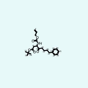 C=CCOC(=O)NC(CC(=O)OC(C)(C)C)C(=O)CCCCc1ccccc1